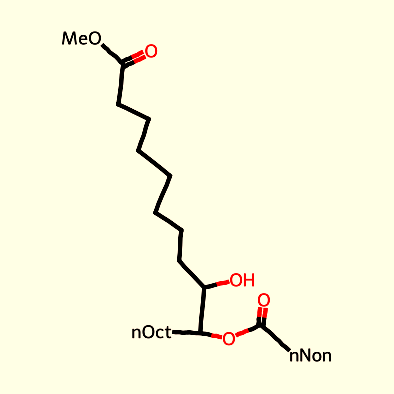 CCCCCCCCCC(=O)OC(CCCCCCCC)C(O)CCCCCCCC(=O)OC